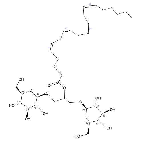 CCCCC/C=C\C/C=C\C/C=C\C/C=C\CCCC(=O)OC(CO[C@@H]1O[C@H](CO)[C@@H](O)[C@H](O)[C@H]1O)CO[C@@H]1O[C@H](CO)[C@@H](O)[C@H](O)[C@H]1O